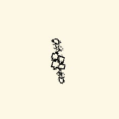 c1ccc2c(c1)OB(c1ccc3ccc4c(B5Oc6ccccc6O5)ccc5ccc1c3c54)O2